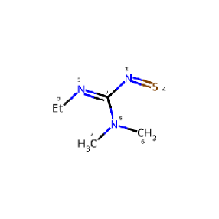 [CH2]CN=C(N=S)N(C)C